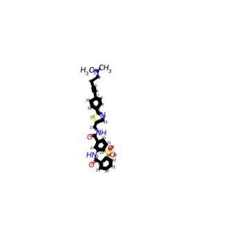 CN(C)CCC#Cc1ccc(-c2ncc(CNC(=O)c3ccc4c(c3)NC(=O)c3ccccc3S4(=O)=O)s2)cc1